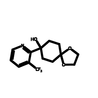 OC1(c2ncccc2C(F)(F)F)CCC2(CC1)OCCO2